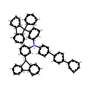 c1ccc(-c2ccc(-c3ccc(N(c4cccc(C5c6ccccc6-c6ccccc65)c4)c4cccc(C5(c6ccccc6)c6ccccc6-c6ccccc65)c4)cc3)cc2)cc1